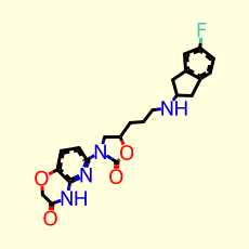 O=C1COc2ccc(N3CC(CCCNC4Cc5ccc(F)cc5C4)OC3=O)nc2N1